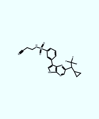 N#CCCNS(=O)(=O)c1cccc(-c2c[nH]c3ncc(C(C4CC4)C(F)(F)F)nc23)c1